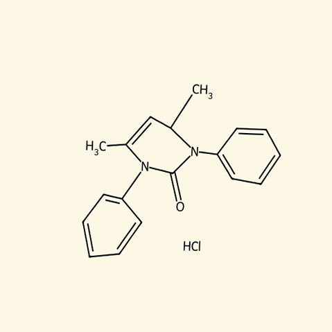 CC1=CC(C)N(c2ccccc2)C(=O)N1c1ccccc1.Cl